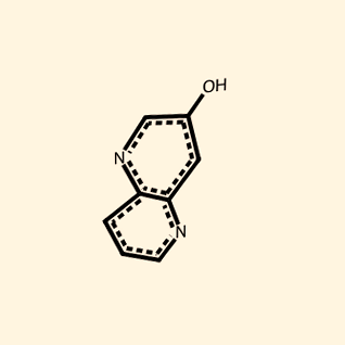 Oc1cnc2cccnc2c1